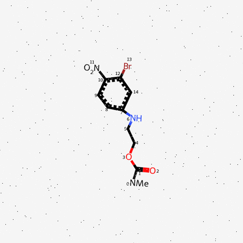 CNC(=O)OCCNc1ccc([N+](=O)[O-])c(Br)c1